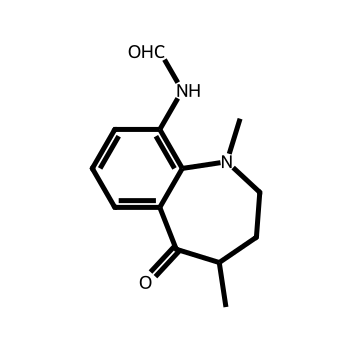 CC1CCN(C)c2c(NC=O)cccc2C1=O